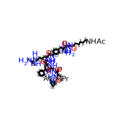 CC(=O)NCCCCCC(=O)NNC(=O)[C@H](N)Cc1ccc(NC(=O)[C@H](CCCCNC(=N)N)NC(=O)[C@H](CCc2ccccc2)NC(=O)CNC(=O)[C@H](CC(C)C)NC(=O)[C@@H]2CCCN2C(C)=O)cc1